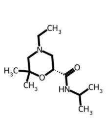 CCN1C[C@H](C(=O)NC(C)C)OC(C)(C)C1